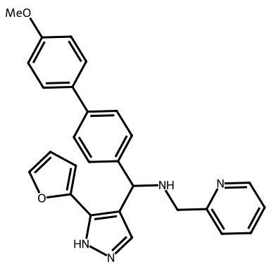 COc1ccc(-c2ccc(C(NCc3ccccn3)c3cn[nH]c3-c3ccco3)cc2)cc1